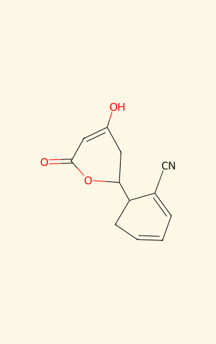 N#CC1=CC=CCC1C1CC(O)=CC(=O)O1